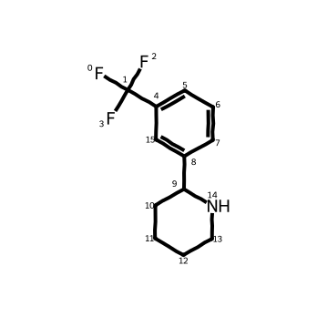 FC(F)(F)c1cccc(C2CCCCN2)c1